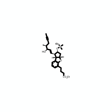 CC#CC[C@H](C)[C@H](O)/C=C/[C@@H]1[C@H]2c3cccc(CCCC(=O)OCC)c3O[C@H]2C[C@H]1O[Si](C)(C)C(C)(C)C